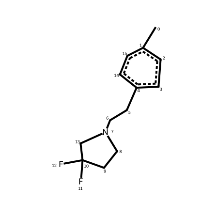 Cc1ccc(CCN2CCC(F)(F)C2)cc1